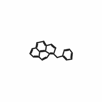 c1ccc(Cc2ccc3ccc4cccc5ccc2c3c45)cc1